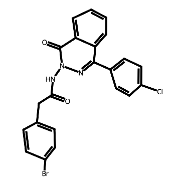 O=C(Cc1ccc(Br)cc1)Nn1nc(-c2ccc(Cl)cc2)c2ccccc2c1=O